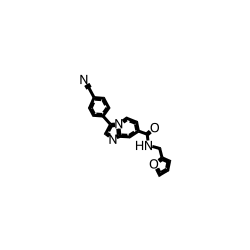 N#Cc1ccc(-c2cnc3cc(C(=O)NCc4ccco4)ccn23)cc1